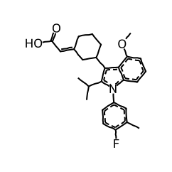 COc1cccc2c1c(C1CCC/C(=C\C(=O)O)C1)c(C(C)C)n2-c1ccc(F)c(C)c1